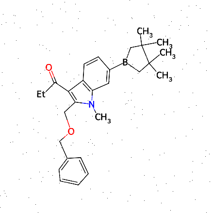 CCC(=O)c1c(COCc2ccccc2)n(C)c2cc(B3CC(C)(C)C(C)(C)C3)ccc12